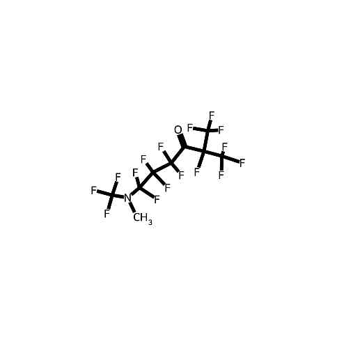 CN(C(F)(F)F)C(F)(F)C(F)(F)C(F)(F)C(=O)C(F)(C(F)(F)F)C(F)(F)F